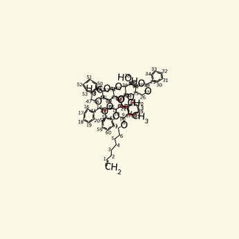 C=CCCCCCCO[C@@H]1OC(COCc2ccccc2)[C@@H](O[C@@H]2OC3COC(c4ccccc4)O[C@@H]3[C@H](O)C2O[C@@H]2OC(C)[C@@H](OCc3ccccc3)[C@H](OCc3ccccc3)C2OCc2ccccc2)[C@H](C)C1C